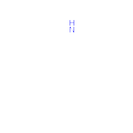 C1=CC2=C(C=CC1)CNCC2